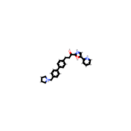 O=C(CCc1ccc(-c2ccc(CN3CCCC3)cc2)cc1)c1ncc(-c2ccccn2)o1